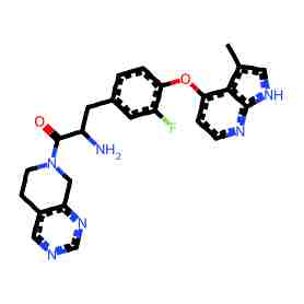 Cc1c[nH]c2nccc(Oc3ccc(CC(N)C(=O)N4CCc5cncnc5C4)cc3F)c12